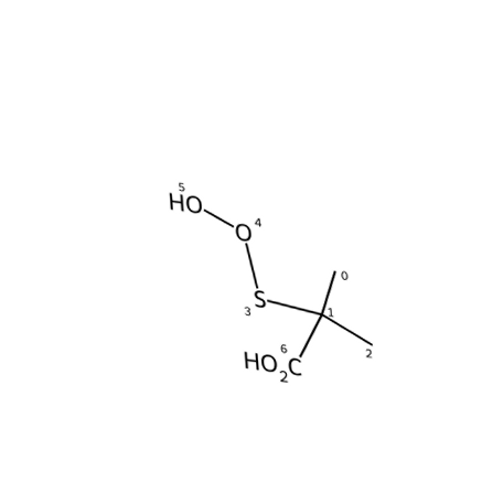 CC(C)(SOO)C(=O)O